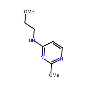 COCCNc1ccnc(OC)n1